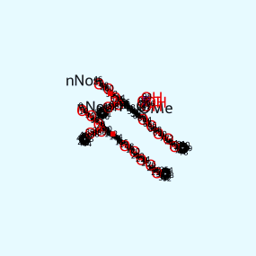 CCCCCCCCCOCCOCCOCC(CCCCCCCOCCOCCOCCOCCOc1ccccc1)OCCOc1ccccc1.CCCCCCCCCOCCOCCOCC(CCCCCCCOCCOCCOCCOCCOc1ccccc1)OCCOc1ccccc1.COC.O=P(O)(O)O